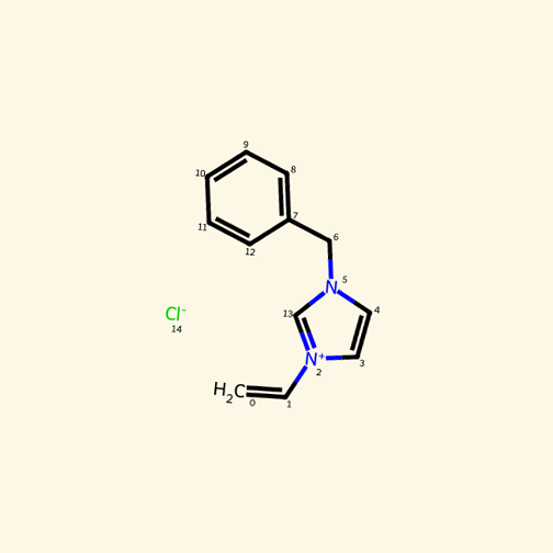 C=C[n+]1ccn(Cc2ccccc2)c1.[Cl-]